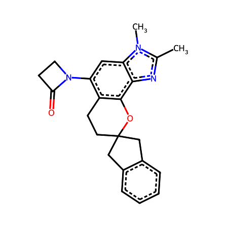 Cc1nc2c3c(c(N4CCC4=O)cc2n1C)CCC1(Cc2ccccc2C1)O3